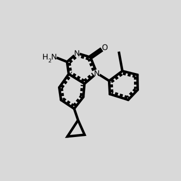 Cc1ccccc1-n1c(=O)nc(N)c2ccc(C3CC3)cc21